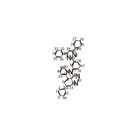 c1ccc(-c2cc3c4c(ncnc4c2)N(c2cccc(-c4nc(-c5ccccc5)cc(-c5ccccc5)n4)c2)c2ccccc2-3)cc1